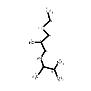 CCOCC(O)CNC(C)C(C)N